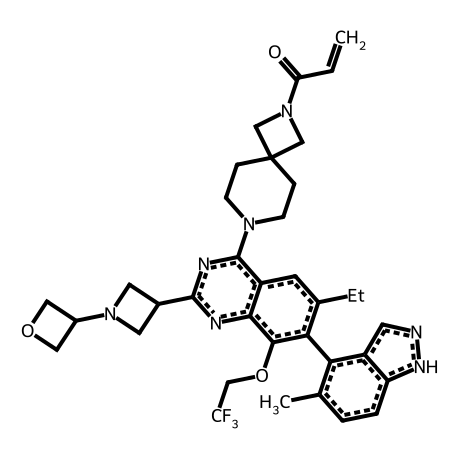 C=CC(=O)N1CC2(CCN(c3nc(C4CN(C5COC5)C4)nc4c(OCC(F)(F)F)c(-c5c(C)ccc6[nH]ncc56)c(CC)cc34)CC2)C1